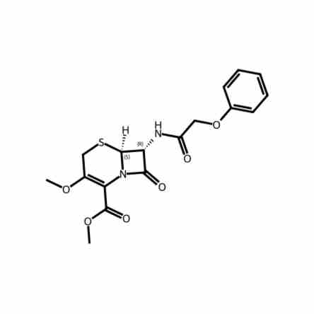 COC(=O)C1=C(OC)CS[C@H]2[C@H](NC(=O)COc3ccccc3)C(=O)N12